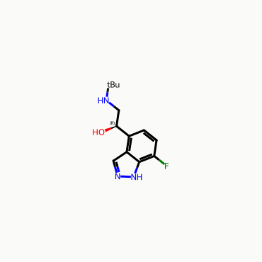 CC(C)(C)NC[C@H](O)c1ccc(F)c2[nH]ncc12